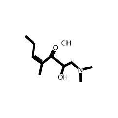 CCC=C(C)C(=O)C(O)CN(C)C.Cl